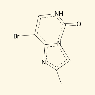 Cc1cn2c(=O)[nH]cc(Br)c2n1